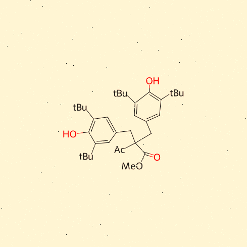 COC(=O)C(Cc1cc(C(C)(C)C)c(O)c(C(C)(C)C)c1)(Cc1cc(C(C)(C)C)c(O)c(C(C)(C)C)c1)C(C)=O